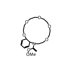 C=C(OOC)N1CCOCCOCCOCCOCCOC2C=CC=CC21